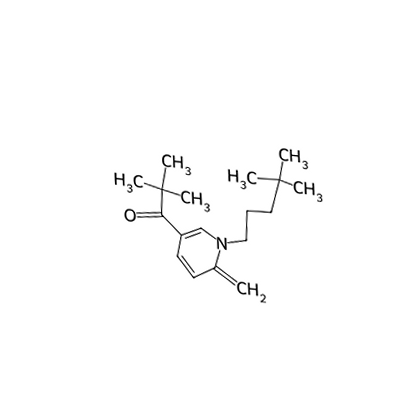 C=C1C=CC(C(=O)C(C)(C)C)=CN1CCCC(C)(C)C